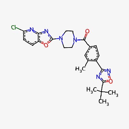 Cc1cc(C(=O)N2CCN(c3nc4nc(Cl)ccc4o3)CC2)ccc1-c1noc(C(C)(C)C)n1